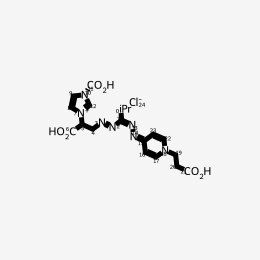 CC(C)C(N=NCC(C(=O)O)[n+]1ccn(C(=O)O)c1)=NN=c1ccn(CCC(=O)O)cc1.[Cl-]